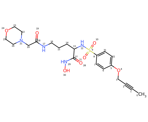 CC#CCOc1ccc(S(=O)(=O)NC(CCCNC(=O)CN2CCOCC2)C(=O)NO)cc1